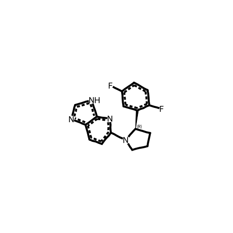 Fc1ccc(F)c([C@H]2CCCN2c2ccc3nc[nH]c3n2)c1